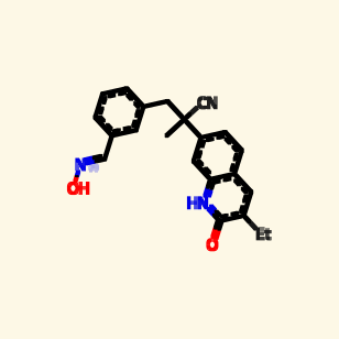 CCc1cc2ccc(C(C)(C#N)Cc3cccc(/C=N/O)c3)cc2[nH]c1=O